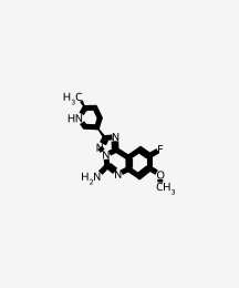 COc1cc2nc(N)n3nc([C@@H]4CC[C@H](C)NC4)nc3c2cc1F